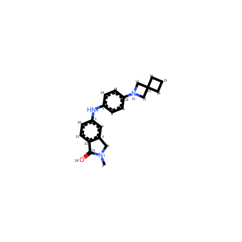 CN1Cc2cc(Nc3ccc(N4CC5(CCC5)C4)cc3)ccc2C1=O